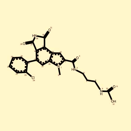 Cn1c(C(=O)NCCCNC(=O)O)cc2c3c(c(-c4ccccc4Cl)cc21)C(=O)NC3=O